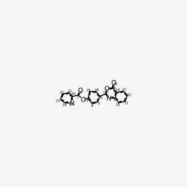 O=C(Oc1ccc(-c2nc3ccccc3c(=O)o2)cc1)c1ccccn1